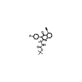 C#Cc1cccc2nc([C@H](C)NC(=O)OC(C)(C)C)n(-c3ccc(F)cc3)c(=O)c12